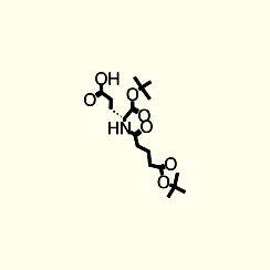 CC(C)(C)OC(=O)CCCC(=O)N[C@H](CCC(=O)O)C(=O)OC(C)(C)C